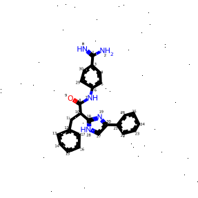 N=C(N)c1ccc(NC(=O)C(Cc2ccccc2)c2nc(-c3ccccc3)c[nH]2)cc1